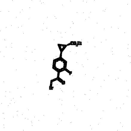 CCOC(=O)[C@H]1C[C@@H]1c1ccc(C(=O)CBr)c(F)c1